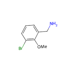 COc1c(Br)cccc1CN